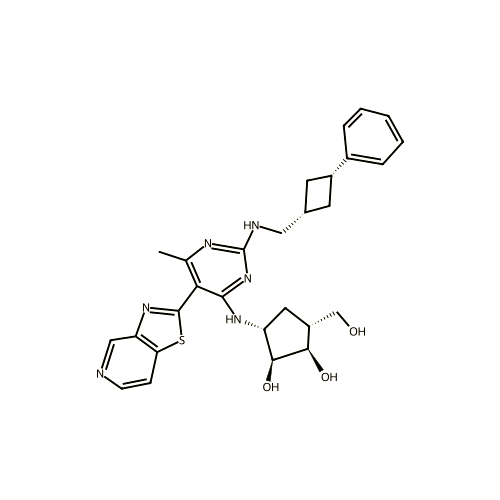 Cc1nc(NC[C@H]2C[C@@H](c3ccccc3)C2)nc(N[C@@H]2C[C@H](CO)[C@@H](O)[C@H]2O)c1-c1nc2cnccc2s1